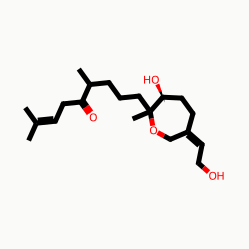 CC(C)=CCC(=O)C(C)CCCC1(C)OCC(=CCO)CC[C@@H]1O